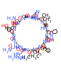 CCCC[C@H]1C(=O)N(C)[C@@H](CCCC)C(=O)N[C@@H](CCCNC(=N)N)C(=O)NC(C(=O)NCC(N)=O)CSCC(=O)N[C@@H](Cc2ccc(O)cc2)C(=O)N(C)[C@@H](CO)C(=O)N[C@@H](CC(N)=O)C(=O)N2CCC[C@H]2C(=O)N[C@@H](Cc2cnc[nH]2)C(=O)N[C@@H](CC(C)C)C(=O)N2CCC[C@H]2C(=O)N[C@@H](Cc2c[nH]c3ccccc23)C(=O)N[C@@H](CO)C(=O)N[C@@H](Cc2csc3ccccc23)C(=O)N1C